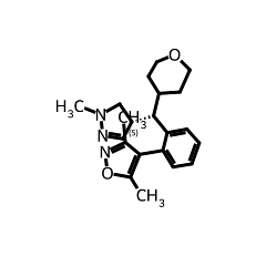 Cc1noc(C)c1-c1ccccc1C(C1CCOCC1)[C@@H]1C=NN(C)C1